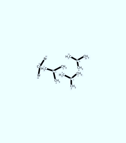 CP(C)C.CP(C)C.CP(C)C.[Br][Co][Br]